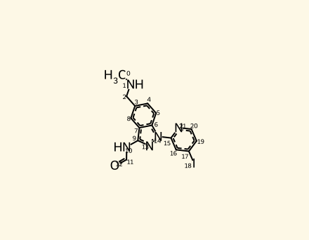 CNCc1ccc2c(c1)c(NC=O)nn2-c1cc(I)ccn1